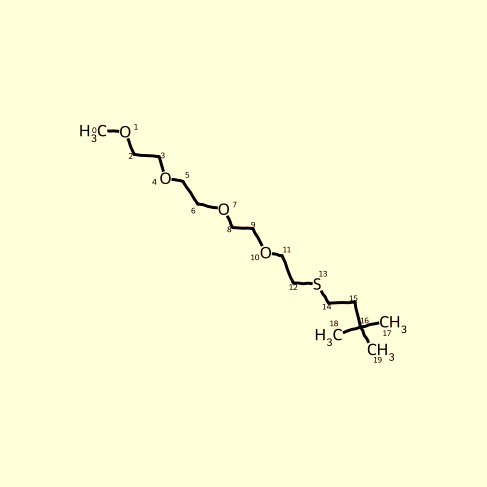 COCCOCCOCCOCCSCCC(C)(C)C